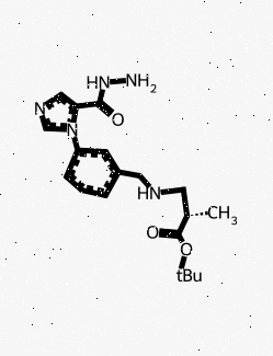 C[C@@H](CNCc1cccc(-n2cncc2C(=O)NN)c1)C(=O)OC(C)(C)C